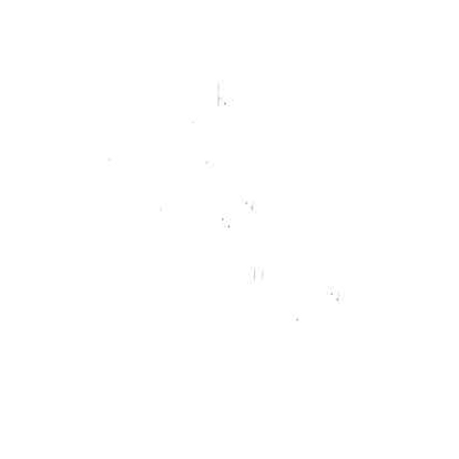 OC(CN1CCCCC1)Cn1nc(C(F)(F)F)c2c1CCNC2c1ccccc1